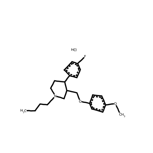 CCCCN1CCC(c2ccc(F)cc2)C(COc2ccc(OC)cc2)C1.Cl